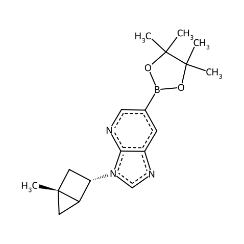 CC1(C)OB(c2cnc3c(c2)ncn3[C@H]2C[C@@]3(C)CC23)OC1(C)C